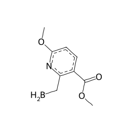 BCc1nc(OC)ccc1C(=O)OC